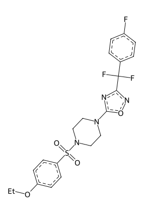 CCOc1ccc(S(=O)(=O)N2CCN(c3nc(C(F)(F)c4ccc(F)cc4)no3)CC2)cc1